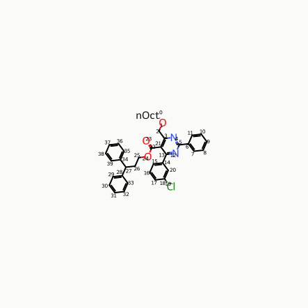 CCCCCCCCOCc1nc(-c2ccccc2)nc(-c2cccc(Cl)c2)c1C(=O)OCCC(c1ccccc1)c1ccccc1